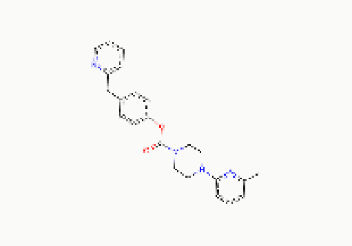 Cc1cccc(N2CCN(C(=O)Oc3ccc(Cc4ccccn4)cc3)CC2)n1